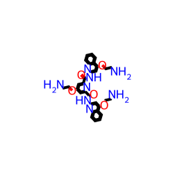 NCCOc1cc(C(=O)Nc2cc(OCCN)c3ccccc3n2)nc(C(=O)Nc2cc(OCCN)c3ccccc3n2)c1